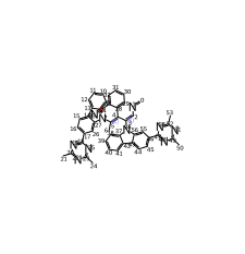 C=N/C=C(\C(=C(/C)n1c2ccccc2c2ccc(-c3nc(C)nc(C)n3)cc21)c1ccccc1C#N)n1c2ccccc2c2ccc(-c3nc(C)nc(C)n3)cc21